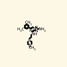 Cc1cc(C)cc(-c2cn3nc(N)nc3c(NCCCN3CCN(C)CC3)n2)c1